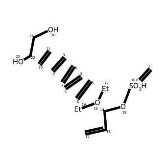 C=C.C=C.C=C.C=C.C=C.C=C.C=CCOS(=O)(=O)O.CCOCC.OCCO